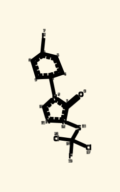 O=c1n(-c2ccc(F)cc2)cnn1SC(F)(Cl)Cl